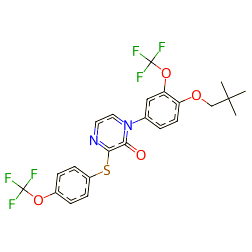 CC(C)(C)COc1ccc(-n2ccnc(Sc3ccc(OC(F)(F)F)cc3)c2=O)cc1OC(F)(F)F